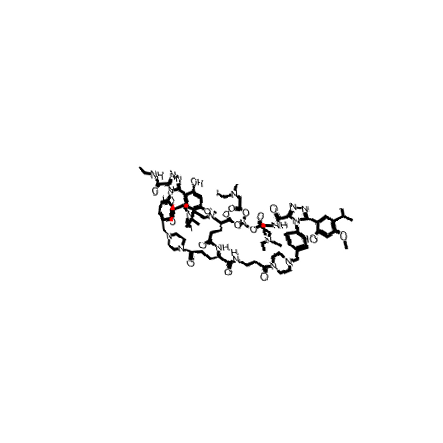 CCNC(=O)c1nnc(-c2cc(C(C)C)c(OC)cc2O)n1-c1ccc(CN2CCN(C(=O)CCNC(=O)[C@@H](CCC(=O)N3CCN(Cc4ccc(-n5c(C(=O)NCC)nnc5-c5cc(C(C)C)c(OC)cc5O)cc4)CC3)NC(=O)CC[C@H](C(=O)ON(OC(=O)CN(C)CC)OC(=O)CN(C)CI)N(C)CCN(CI)CC(=O)O)CC2)cc1